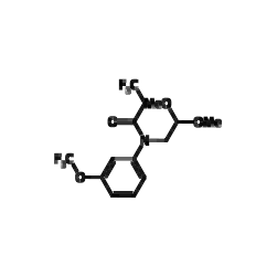 COC(CN(C(=O)CC(F)(F)F)c1cccc(OC(F)(F)F)c1)OC